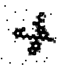 Nc1nc(C(=NOCCN2CCCC2=O)c2ccc3c(c2)OCO3)c2cc(C(=O)NCC(F)(F)F)sc2n1